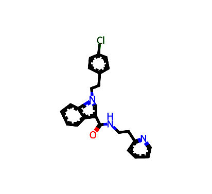 O=C(NCCc1ccccn1)c1cn(CCc2ccc(Cl)cc2)c2ccccc12